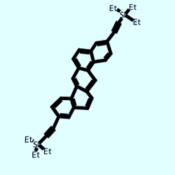 CC[Si](C#Cc1ccc2c(ccc3cc4c(ccc5cc(C#C[Si](CC)(CC)CC)ccc54)cc32)c1)(CC)CC